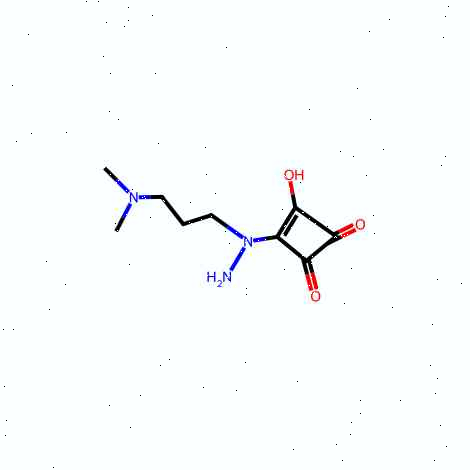 CN(C)CCCN(N)c1c(O)c(=O)c1=O